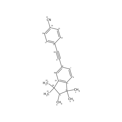 CC1C(C)(C)c2ccc(C#Cc3ccc(C#N)cc3)cc2C1(C)C